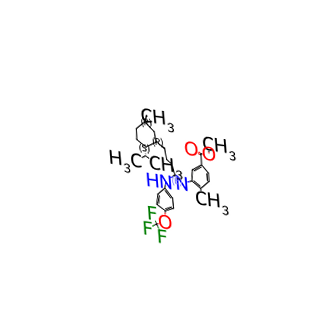 COC(=O)c1ccc(C)c(/N=C(\CCC[C@@H]2C[C@H](C)CC[C@H]2C(C)C)Nc2ccc(OC(F)(F)F)cc2)c1